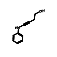 OCCC#CNc1ccccc1